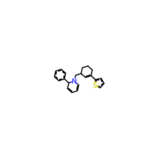 C1=CC(c2ccccc2)N(CC2C=C(c3cccs3)CCC2)C=C1